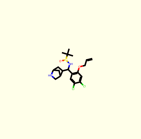 C=CCOc1cc(Cl)c(Cl)cc1C(N[S+]([O-])C(C)(C)C)C1CC2CC1CN2